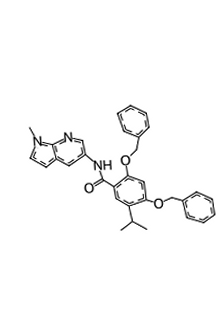 CC(C)c1cc(C(=O)Nc2cnc3c(ccn3C)c2)c(OCc2ccccc2)cc1OCc1ccccc1